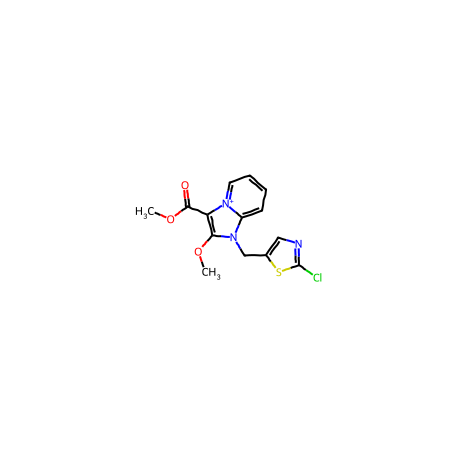 COC(=O)c1c(OC)n(Cc2cnc(Cl)s2)c2cccc[n+]12